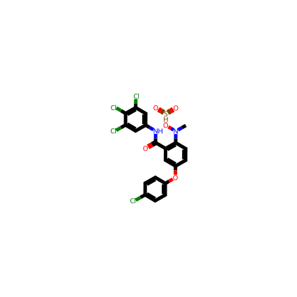 CN(O[SH](=O)=O)c1ccc(Oc2ccc(Cl)cc2)cc1C(=O)Nc1cc(Cl)c(Cl)c(Cl)c1